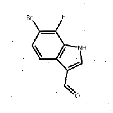 O=Cc1c[nH]c2c(F)c(Br)ccc12